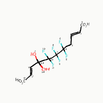 O=C(O)C=CCC(F)(F)C(F)(F)C(F)(F)C(O)(O)C=CC(=O)O